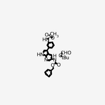 CC(C)(C)OC=O.CS(=O)(=O)Nc1cccc(-c2c[nH]c3ncc(NC(=O)OCc4ccccc4)cc23)c1